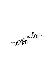 CCCCOc1ccc(CCc2ccc(-c3ccc(C4CCC(OCCC)CC4)c(F)c3F)cc2)c(F)c1